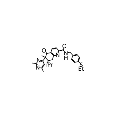 CCSc1ccc(CNC(=O)c2ccc3c(n2)CC(C(C)C)C(C)(c2cc(C)nc(C)n2)C3=O)cc1